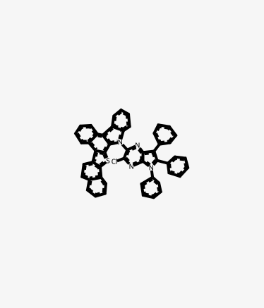 Clc1nc2c(nc1-n1c3ccccc3c3c4ccccc4c4c5ccc6ccccc6c5sc4c31)c(-c1ccccc1)c(-c1ccccc1)n2-c1ccccc1